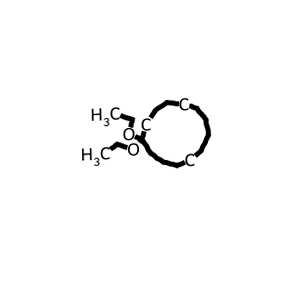 CCOC1(OCC)CCCCCCCCCCCC1